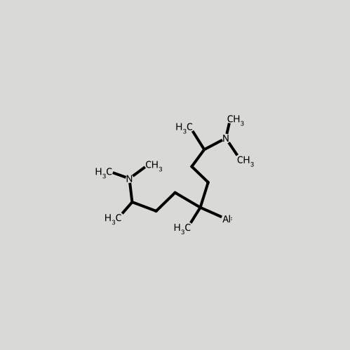 CC(CC[C](C)([Al])CCC(C)N(C)C)N(C)C